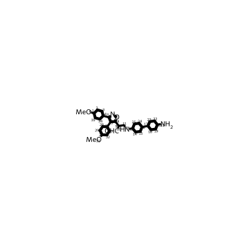 COc1ccc(-c2noc(C(C=O)CNc3ccc(-c4ccc(N)cc4)cc3)c2-c2ccc(OC)cc2)cc1